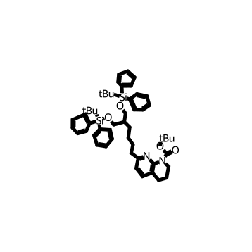 CC(C)(C)OC(=O)N1CCCc2ccc(CCCCC(CO[Si](c3ccccc3)(c3ccccc3)C(C)(C)C)CO[Si](c3ccccc3)(c3ccccc3)C(C)(C)C)nc21